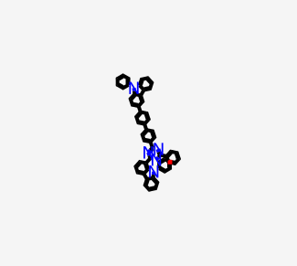 c1ccc(-c2nc(-c3ccc(-c4ccc(-c5ccc6c(c5)c5ccccc5n6-c5ccccc5)cc4)cc3)nc(-c3cccc4c5ccccc5n(-c5ccccc5)c34)n2)cc1